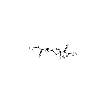 C=CC(=O)NCCCC(C)(C)C(=O)ON